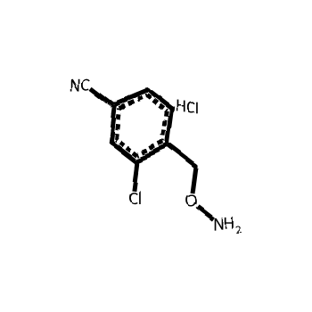 Cl.N#Cc1ccc(CON)c(Cl)c1